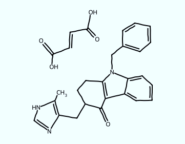 Cc1[nH]cnc1CC1CCc2c(c3ccccc3n2Cc2ccccc2)C1=O.O=C(O)C=CC(=O)O